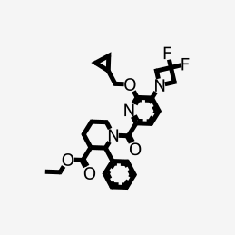 CCOC(=O)C1CCCN(C(=O)c2ccc(N3CC(F)(F)C3)c(OCC3CC3)n2)C1c1ccccc1